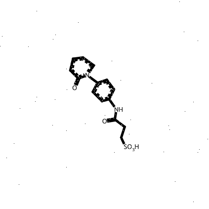 O=C(CCS(=O)(=O)O)Nc1ccc(-n2ccccc2=O)cc1